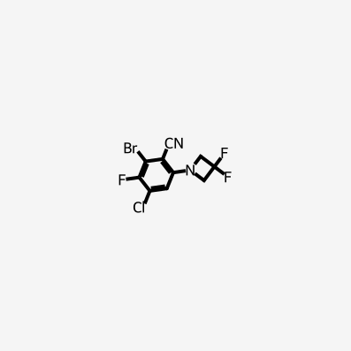 N#Cc1c(N2CC(F)(F)C2)cc(Cl)c(F)c1Br